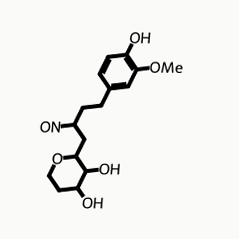 COc1cc(CCC(CC2OCCC(O)C2O)N=O)ccc1O